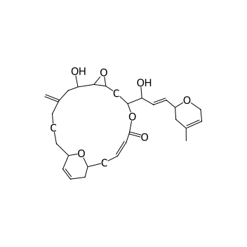 C=C1CCCC2C=CCC(CC=CC(=O)OC(C(O)C=CC3CC(C)=CCO3)CC3OC3C(O)C1)O2